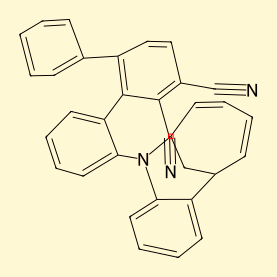 N#Cc1ccc(-c2ccccc2)c(-c2ccccc2N2c3ccccc3C3C=CC=CC2C3)c1C#N